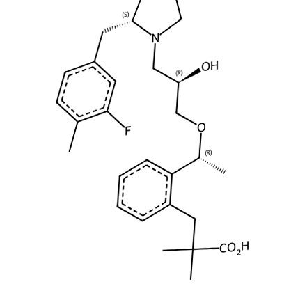 Cc1ccc(C[C@@H]2CCCN2C[C@@H](O)CO[C@H](C)c2ccccc2CC(C)(C)C(=O)O)cc1F